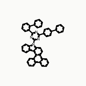 c1ccc(-c2ccc(-c3nc(-c4ccccc4-c4ccccc4)nc(-n4c5ccccc5c5c6c7ccccc7c7ccccc7c6ccc54)n3)cc2)cc1